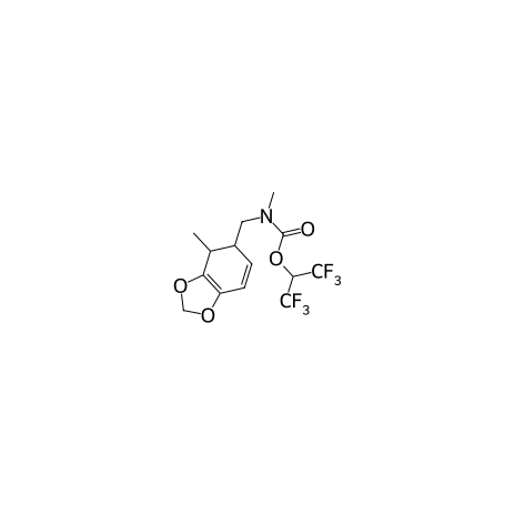 CC1C2=C(C=CC1CN(C)C(=O)OC(C(F)(F)F)C(F)(F)F)OCO2